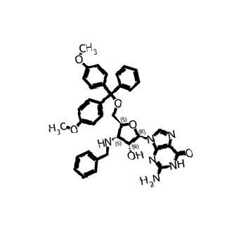 COc1ccc(C(OC[C@H]2O[C@@H](n3cnc4c(=O)[nH]c(N)nc43)[C@H](O)[C@@H]2NCc2ccccc2)(c2ccccc2)c2ccc(OC)cc2)cc1